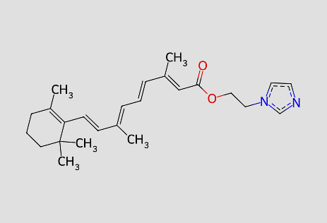 CC(C=CC1=C(C)CCCC1(C)C)=CC=CC(C)=CC(=O)OCCn1ccnc1